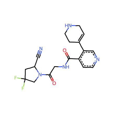 N#CC1CC(F)(F)CN1C(=O)CNC(=O)c1ccncc1C1=CCNCC1